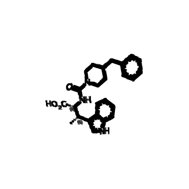 C[C@@H](c1c[nH]c2ccccc12)[C@@H](NC(=O)N1CCC(Cc2ccccc2)CC1)C(=O)O